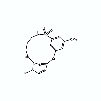 COc1cc2cc(c1)S(=O)(=O)NCCCNc1nc(ncc1Br)N2